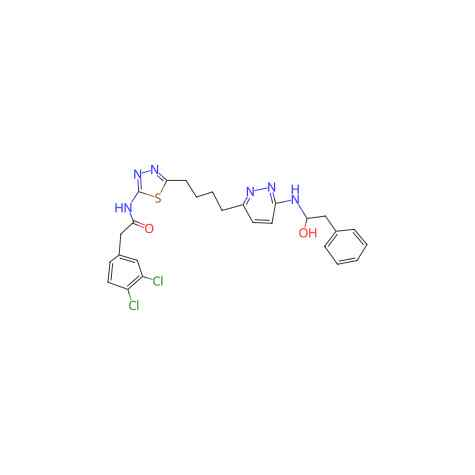 O=C(Cc1ccc(Cl)c(Cl)c1)Nc1nnc(CCCCc2ccc(NC(O)Cc3ccccc3)nn2)s1